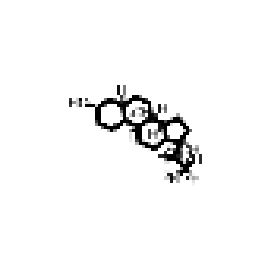 [2H]C([2H])([2H])C(=O)[C@@]1([2H])CC[C@H]2[C@@H]3CC[C@H]4C[C@H](O)CC[C@]4(C)[C@H]3CC[C@@]21C